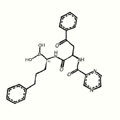 O=C(CC(NC(=O)c1cnccn1)C(=O)N[C@@H](CCCc1ccccc1)B(O)O)c1ccccc1